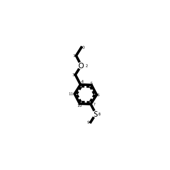 CCOCc1ccc(SC)cc1